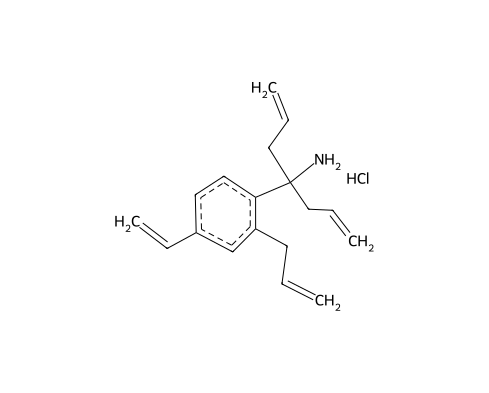 C=CCc1cc(C=C)ccc1C(N)(CC=C)CC=C.Cl